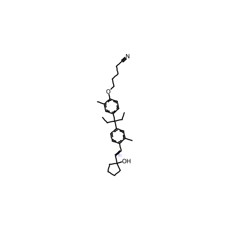 CCC(CC)(c1ccc(/C=C/C2(O)CCCC2)c(C)c1)c1ccc(OCCCCC#N)c(C)c1